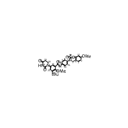 COc1ccc(CN(c2ccc(NC(=O)c3cc(N4CCC(=O)NC4=O)cc(C(C)(C)C)c3OC)cc2)S(C)(=O)=O)cc1